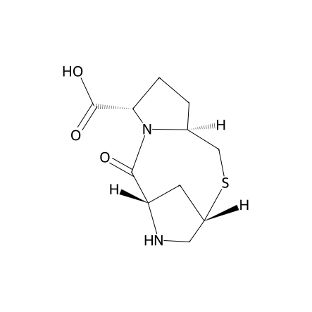 O=C(O)[C@@H]1CC[C@H]2CS[C@@H]3CN[C@@H](C3)C(=O)N21